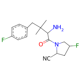 CC(C)(Cc1ccc(F)cc1)C(N)C(=O)N1CC(F)CC1C#N